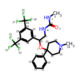 CNC(=O)NCC(OC1(c2ccccc2)CCN(C)CC1)c1cc(C(F)(F)F)cc(C(F)(F)F)c1